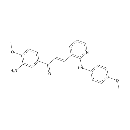 COc1ccc(Nc2ncccc2C=CC(=O)c2ccc(OC)c(N)c2)cc1